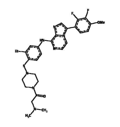 CCc1cc(Nc2nccn3c(-c4ccc(OC)c(F)c4F)cnc23)ccc1SN1CCN(C(=O)CN(C)C)CC1